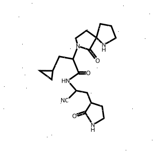 N#CC(CC1CCNC1=O)NC(=O)C(CC1CC1)N1CCC2(CCCN2)C1=O